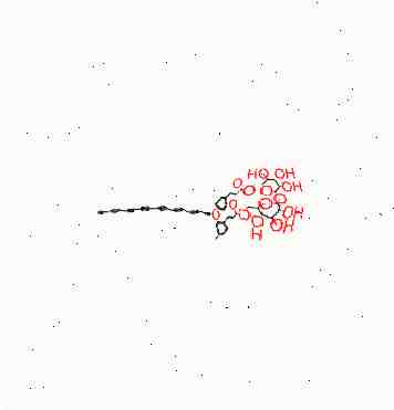 C#CC#CC#CC#CC#CC#CC#CC#COc1ccc(/C=C/C(=O)OC[C@H]2O[C@H](O[C@H]3O[C@H](COC(=O)/C=C/c4ccc(C)cc4)[C@@H](O)[C@H](O)[C@H]3O)[C@H](O)[C@@H](O)[C@@H]2O)cc1